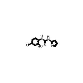 Oc1cc(Cl)ccc1NC(=S)Nc1cccs1